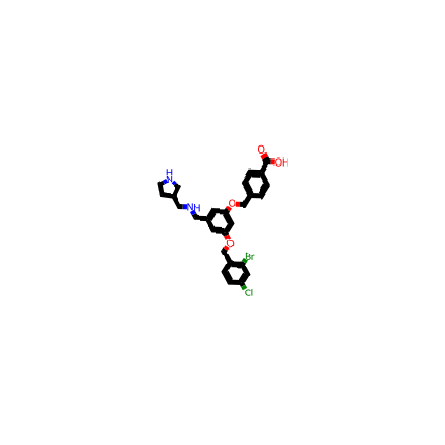 O=C(O)c1ccc(COc2cc(CNCC3CCNC3)cc(OCc3ccc(Cl)cc3Br)c2)cc1